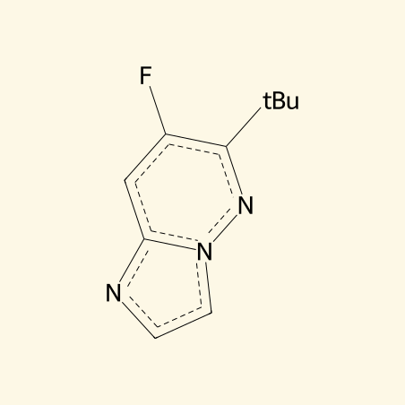 CC(C)(C)c1nn2ccnc2cc1F